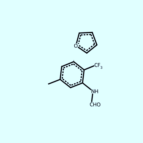 Cc1c[c]c(C(F)(F)F)c(NC=O)c1.c1ccoc1